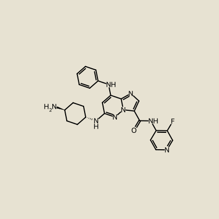 N[C@H]1CC[C@H](Nc2cc(Nc3ccccc3)c3ncc(C(=O)Nc4ccncc4F)n3n2)CC1